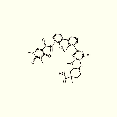 COc1cc(-c2cccc(-c3cccc(NC(=O)c4cn(C)c(=O)n(C)c4=O)c3Cl)c2Cl)cc(F)c1CN1CCC(C)(C(=O)O)CC1